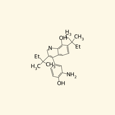 CCC(C)(C)c1cnc2c(O)c(C(C)(C)CC)ccc2c1-c1ccc(O)c(N)c1